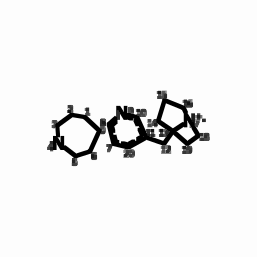 C1CCC[N]CC1.c1cncc(CC23CCC[N+]2CC3)c1